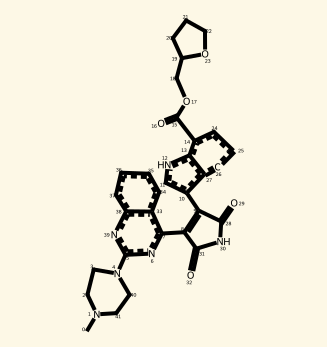 CN1CCN(c2nc(C3=C(c4c[nH]c5c(C(=O)OCC6CCCO6)cccc45)C(=O)NC3=O)c3ccccc3n2)CC1